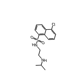 CC(C)NCCNS(=O)(=O)c1cccc2c(Cl)cccc12